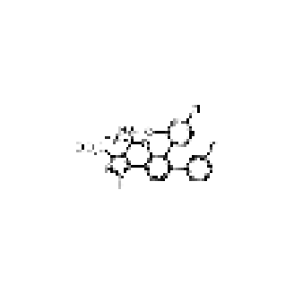 CCOC(=O)c1n[nH]c2c1C(C)(C)Oc1c-2ccc(-c2cccc(Cl)c2)c1-c1ccc(Cl)cc1Cl